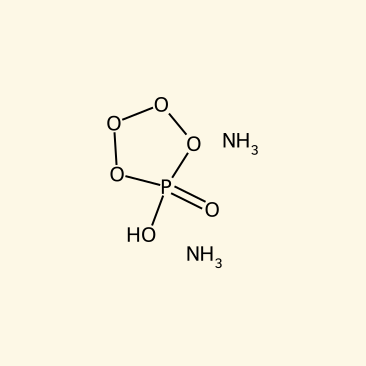 N.N.O=P1(O)OOOO1